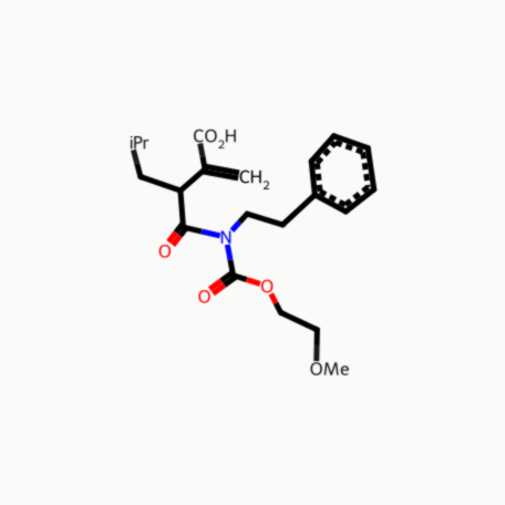 C=C(C(=O)O)C(CC(C)C)C(=O)N(CCc1ccccc1)C(=O)OCCOC